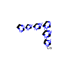 C1=NC=NC1.C1=NC=NC1.C1=NC=NC1.C1=NC=NC1.C1=NC=NC1.C1=NC=NC1.[Co]